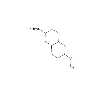 CCCCCCCC1CCC2CC(OCCC)CCC2C1